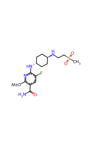 COc1nc(N[C@H]2CC[C@H](NCCS(C)(=O)=O)CC2)c(F)cc1C(N)=O